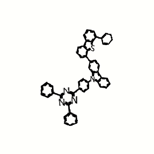 C1=CC(c2cccc3c2sc2c(-c4ccc5c6ccccc6n(-c6ccc(-c7nc(-c8ccccc8)nc(-c8ccccc8)n7)cc6)c5c4)cccc23)=CCC1